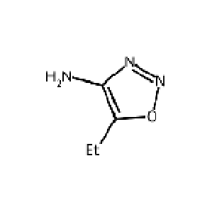 CCc1onnc1N